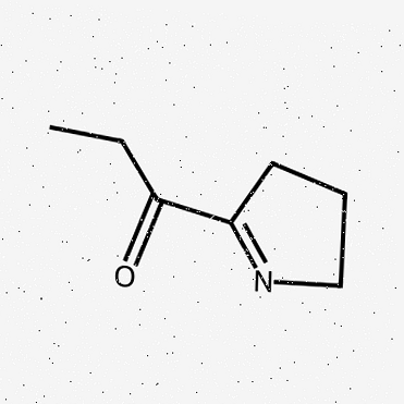 CCC(=O)C1=NCCC1